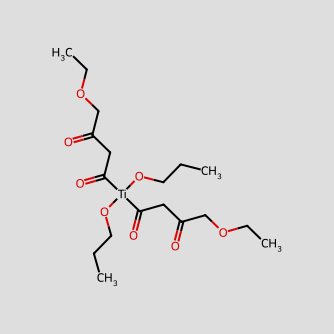 CCC[O][Ti]([O]CCC)([C](=O)CC(=O)COCC)[C](=O)CC(=O)COCC